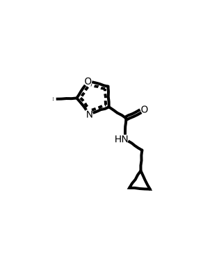 [CH]c1nc(C(=O)NCC2CC2)co1